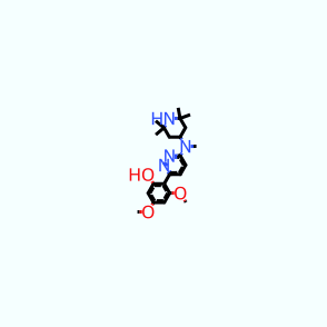 COc1cc(O)c(-c2ccc(N(C)C3CC(C)(C)NC(C)(C)C3)nn2)c(OC)c1